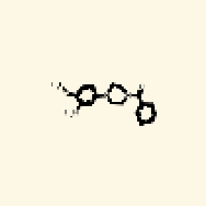 COc1ccc(N2CCN(C(=O)c3ccccc3)CC2)cc1N